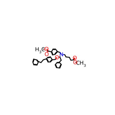 COC(=O)CCCCN(Cc1ccc(C(=O)OC)cc1)C(Cc1ccccc1)OCc1ccc(CCc2ccccc2)cc1